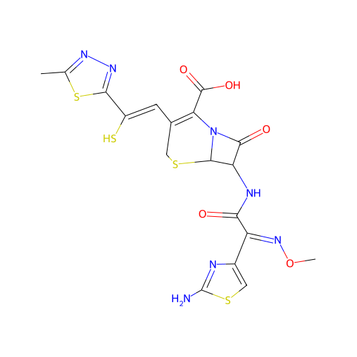 CON=C(C(=O)NC1C(=O)N2C(C(=O)O)=C(C=C(S)c3nnc(C)s3)CSC12)c1csc(N)n1